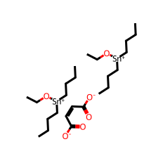 CCC[CH2][Sn+]([CH2]CCC)[O]CC.CCC[CH2][Sn+]([CH2]CCC)[O]CC.O=C([O-])/C=C\C(=O)[O-]